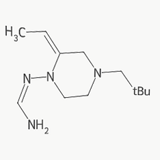 C/C=C1/CN(CC(C)(C)C)CCN1/N=C\N